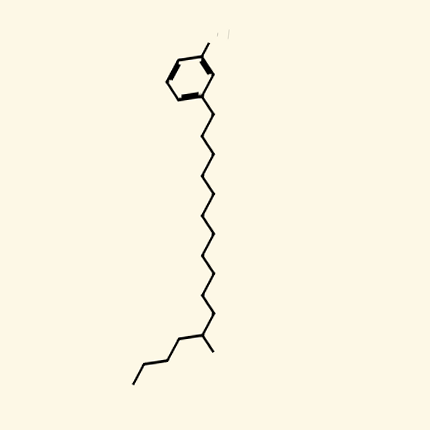 CCCCC(C)CCCCCCCCCCCc1cccc(O)c1